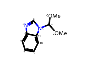 COC(OC)n1cnc2ccccc21